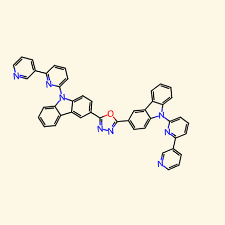 c1cncc(-c2cccc(-n3c4ccccc4c4cc(-c5nnc(-c6ccc7c(c6)c6ccccc6n7-c6cccc(-c7cccnc7)n6)o5)ccc43)n2)c1